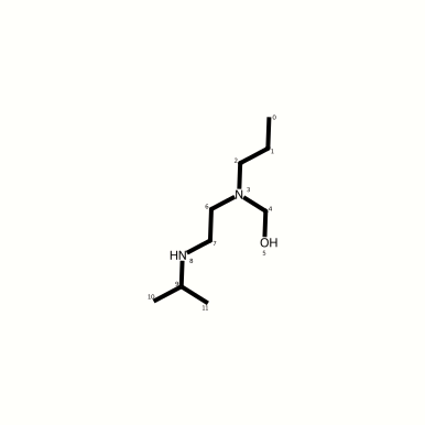 CCCN(CO)CCNC(C)C